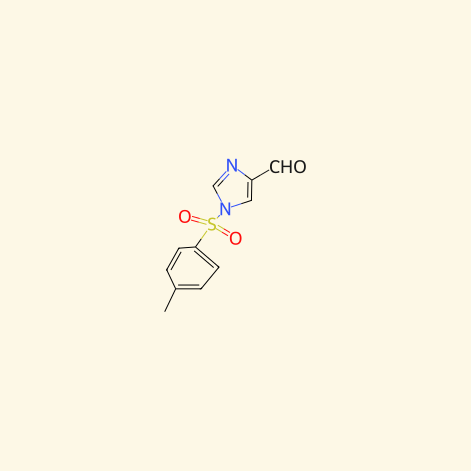 Cc1ccc(S(=O)(=O)n2cnc(C=O)c2)cc1